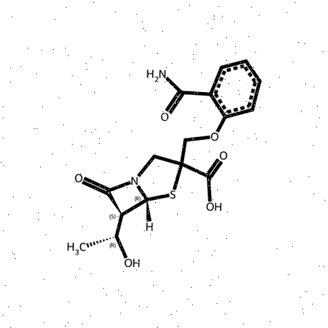 C[C@@H](O)[C@H]1C(=O)N2CC(COc3ccccc3C(N)=O)(C(=O)O)S[C@H]12